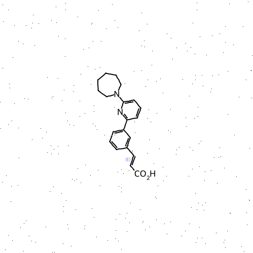 O=C(O)/C=C/c1cccc(-c2cccc(N3CCCCCC3)n2)c1